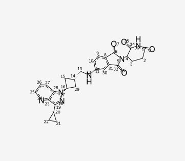 O=C1CCC(N2C(=O)c3ccc(NC[C@H]4C[C@H](n5nc(C6CC6)c6ncccc65)C4)cc3C2=O)C(=O)N1